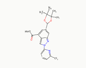 COC(=O)c1cc(C2OC(C)(C)C(C)(C)O2)cc2nn(-c3cccc(C(F)(F)F)n3)cc12